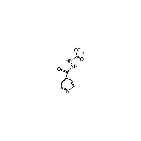 O=C(NNC(=O)C(Cl)(Cl)Cl)c1ccncc1